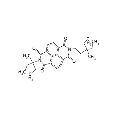 CCC(C)(CC)CCN1C(=O)c2ccc3c4c(ccc(c24)C1=O)C(=O)N(C(C)(CC)CC)C3=O